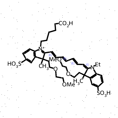 CCN1/C(=C/C=C/C=C/C=C/C2=[N+](CCCCCC(=O)O)c3ccc(S(=O)(=O)O)cc3C2(C)CCOCCOC)C(C)(CCOCCOC)c2cc(S(=O)(=O)O)ccc21